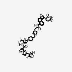 O=C1CC[C@H](c2coc3ccc4c(NC(=O)CN5CCN(CC6CCC(n7cc(NC(=O)c8cnn9ccc(N%10C[C@H]%11C[C@@H]%10CO%11)nc89)c(C(F)F)n7)CC6)CC5)cccc4c23)C(=O)N1